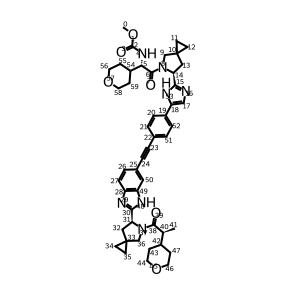 COC(=O)N[C@H](C(=O)N1CC2(CC2)C[C@H]1c1ncc(-c2ccc(C#Cc3ccc4nc([C@@H]5CC6(CC6)CN5C(=O)[C@@H](C)C5CCOCC5)[nH]c4c3)cc2)[nH]1)C1CCOCC1